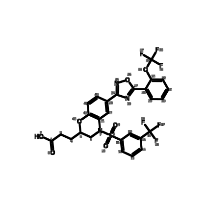 O=C(O)CCC1CN(S(=O)(=O)c2cccc(C(F)(F)F)c2)c2cc(-c3noc(-c4ccccc4OC(F)(F)F)n3)ccc2O1